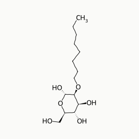 CCCCCCCCO[C@H]1[C@@H](O)[C@H](O)[C@@H](CO)O[C@@H]1O